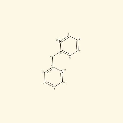 c1ccc(Cc2ccccn2)nc1